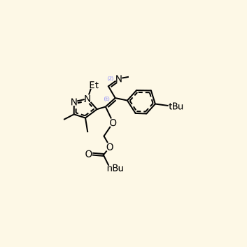 CCCCC(=O)OCO/C(=C(/C=N\C)c1ccc(C(C)(C)C)cc1)c1c(C)c(C)nn1CC